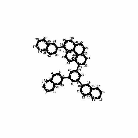 c1cnc2ccc(-c3cc(-c4ccc5ncccc5c4)cc(-c4ccc5ccc6ccc(-c7ccc8ncccc8c7)c7ccc4c5c67)c3)cc2c1